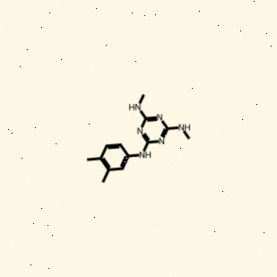 CNc1nc(NC)nc(Nc2ccc(C)c(C)c2)n1